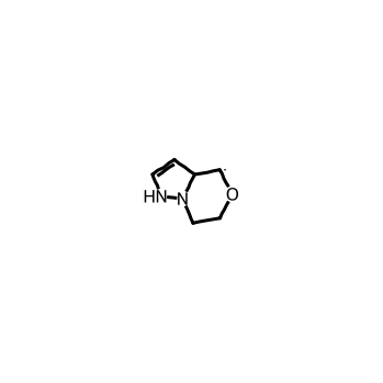 [CH]1OCCN2NC=CC12